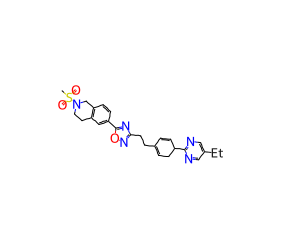 CCc1cnc(C2C=CC(CCc3noc(-c4ccc5c(c4)CCN(S(C)(=O)=O)C5)n3)=CC2)nc1